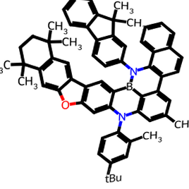 Cc1cc2c3c(c1)N(c1ccc(C(C)(C)C)cc1C)c1cc4oc5cc6c(cc5c4cc1B3N(c1ccc3c(c1)C(C)(C)c1ccccc1-3)c1c-2ccc2ccccc12)C(C)(C)CCC6(C)C